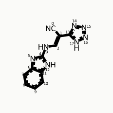 N#C/C(=C\Nc1nc2ccccc2[nH]1)c1nnn[nH]1